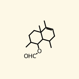 CC1=CCC(C)C2C(OC=O)C(C)CCC12C